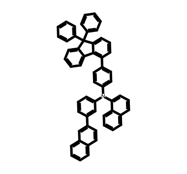 c1ccc(C2(c3ccccc3)c3ccccc3-c3c(-c4ccc(N(c5cccc(-c6ccc7ccccc7c6)c5)c5cccc6ccccc56)cc4)cccc32)cc1